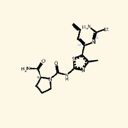 C=C/C=C(\N=C(/N)CC)c1sc(NC(=O)N2CCC[C@H]2C(N)=O)nc1C